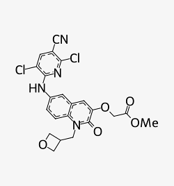 COC(=O)COc1cc2cc(Nc3nc(Cl)c(C#N)cc3Cl)ccc2n(CC2COC2)c1=O